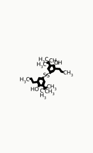 CCCc1cc(SSc2cc(CCC)c(O)c(C(C)(C)C)c2)cc(C(C)(C)C)c1O